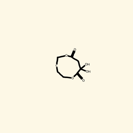 O=C1CC(O)(O)C(=O)OCCCCO1